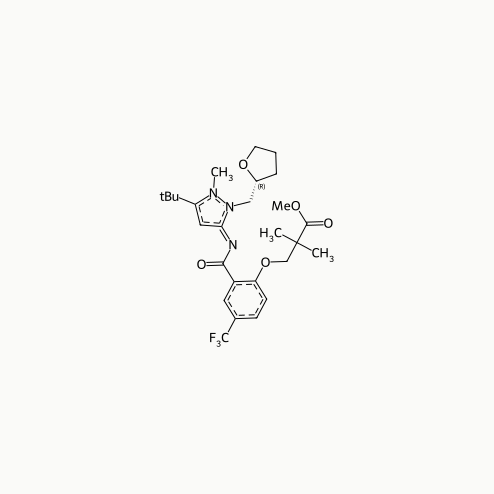 COC(=O)C(C)(C)COc1ccc(C(F)(F)F)cc1C(=O)N=c1cc(C(C)(C)C)n(C)n1C[C@H]1CCCO1